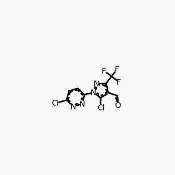 O=Cc1c(C(F)(F)F)nn(-c2ccc(Cl)nn2)c1Cl